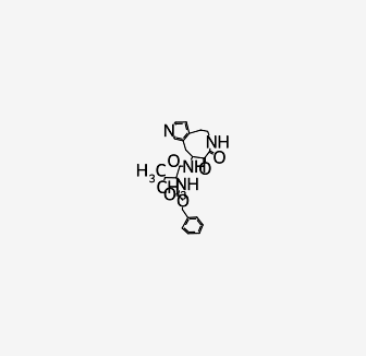 CC(C)C(NC(=O)OCc1ccccc1)C(=O)NC1Cc2cnccc2CCNC(=O)C1=O